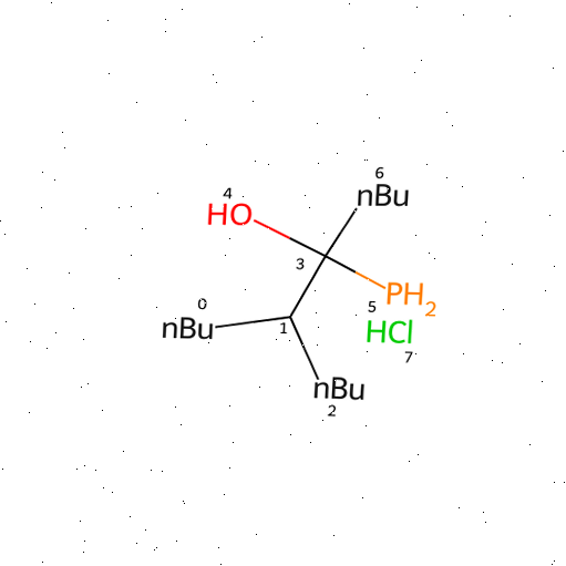 CCCCC(CCCC)C(O)(P)CCCC.Cl